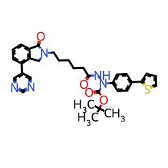 CC(C)(C)OC(=O)N(NC(=O)CCCCCN1Cc2c(cccc2-c2cncnc2)C1=O)c1ccc(-c2cccs2)cc1